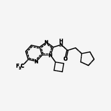 O=C(CC1CCCC1)Nc1nc2ccc(C(F)(F)F)nc2n1C1CCC1